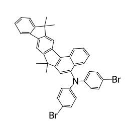 CC1(C)c2ccccc2-c2cc3c(cc21)-c1c(cc(N(c2ccc(Br)cc2)c2ccc(Br)cc2)c2ccccc12)C3(C)C